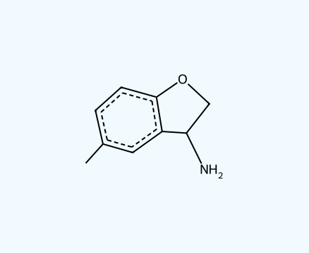 Cc1ccc2c(c1)C(N)CO2